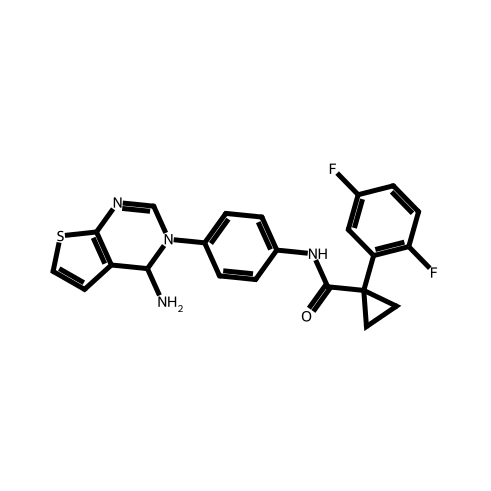 NC1c2ccsc2N=CN1c1ccc(NC(=O)C2(c3cc(F)ccc3F)CC2)cc1